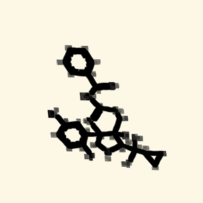 O=C(NC1=N[C@@]2(c3cc(Br)ccc3F)CO[C@H](C(F)(F)C3CC3)[C@H]2CS1)c1ccccc1